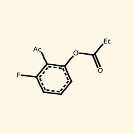 CCC(=O)Oc1cccc(F)c1C(C)=O